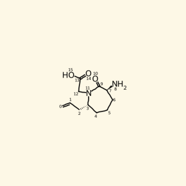 C=CC[C@H]1CCC[C@H](N)C(=O)N1CC(=O)O